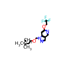 C[Si](C)(C)CCOCn1ncc2cnc(OCC(F)(F)F)cc21